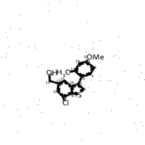 COc1ccc(-c2csc3c(Cl)cc(CO)cc23)c(C)c1